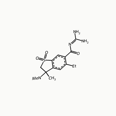 CCc1cc2c(cc1C(=O)N=C(N)N)S(=O)(=O)CC2(C)NC